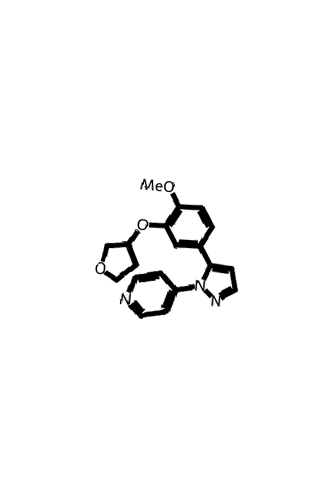 COc1ccc(-c2ccnn2-c2ccncc2)cc1OC1CCOC1